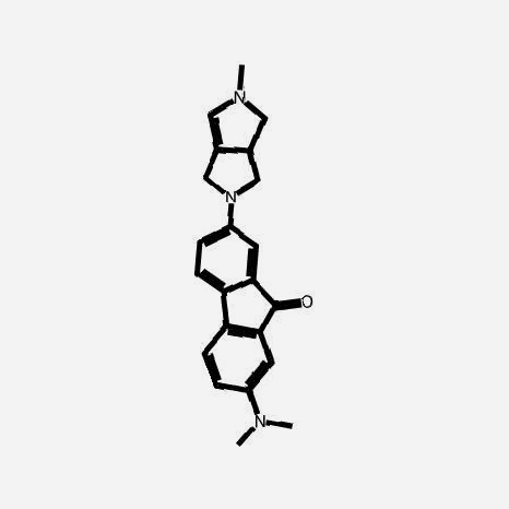 CN1C=C2CN(c3ccc4c(c3)C(=O)c3cc(N(C)C)ccc3-4)CC2C1